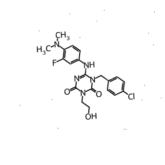 CN(C)c1ccc(Nc2nc(=O)n(CCO)c(=O)n2Cc2ccc(Cl)cc2)cc1F